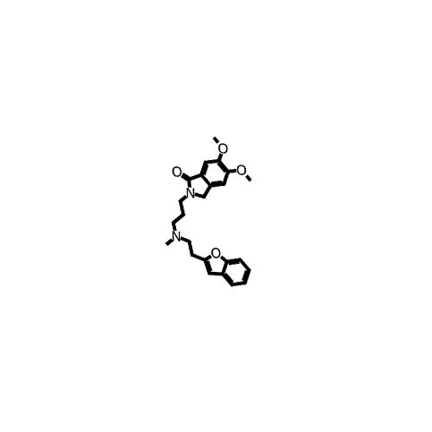 COc1cc2c(cc1OC)C(=O)N(CCCN(C)CCc1cc3ccccc3o1)C2